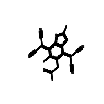 CC(=S)Cc1c(C)c(=C(C#N)C#N)c2sc(C)cc2c1=C(C#N)C#N